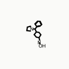 ON=CC1CCC(C(c2ccccc2)N2CCCC2)CC1